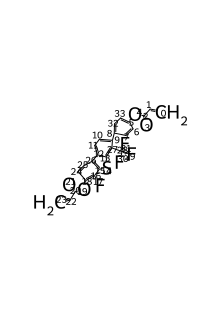 C=CC(=O)Oc1ccc(-c2ccc3c(sc4c(F)c(OC(=O)C=C)ccc43)c2C(F)(F)F)cc1